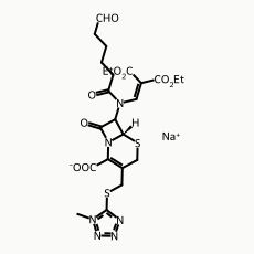 CCOC(=O)C(=CN(C(=O)CCCCC=O)C1C(=O)N2C(C(=O)[O-])=C(CSc3nnnn3C)CS[C@@H]12)C(=O)OCC.[Na+]